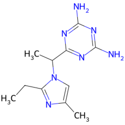 CCc1nc(C)cn1C(C)c1nc(N)nc(N)n1